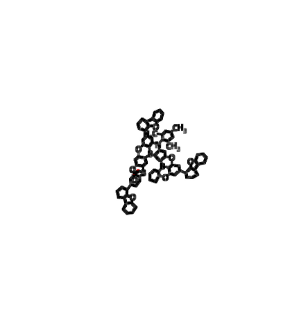 Cc1cc(C)c(N2c3cc4c(cc3B3c5cc6c(cc5Oc5cc(-c7cccc8c7oc7ccccc78)cc2c53)Oc2cc(-c3cccc5c3oc3ccccc35)cc3c2B6c2ccccc2O3)B2c3ccccc3Oc3cc(-c5cccc6c5oc5ccccc56)cc(c32)O4)c(C)c1